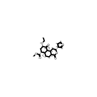 CCO[C@H]1C[C@@H](C(=O)OC)[C@]2(C)CCC3C(=O)O[C@@H](c4ccoc4)C[C@]3(C)C2C1=O